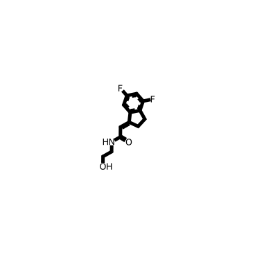 O=C(/C=C1\CCc2c(F)cc(F)cc21)NCCO